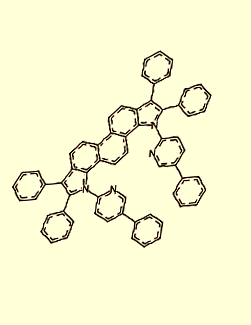 c1ccc(-c2ccc(-n3c(-c4ccccc4)c(-c4ccccc4)c4ccc5c6ccc7c(-c8ccccc8)c(-c8ccccc8)n(-c8ccc(-c9ccccc9)cn8)c7c6ccc5c43)nc2)cc1